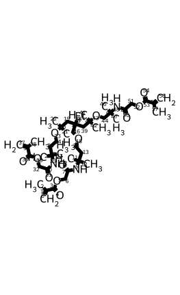 C=C(C)C(=O)OCC(=O)NC(C)(C)CCOCC(CC)(CC(C)(C)OCCC(C)(C)NC(=O)COC(=O)C(=C)C)CC(C)(C)OCC(C)(C)NC(=O)COC(=O)C(=C)C